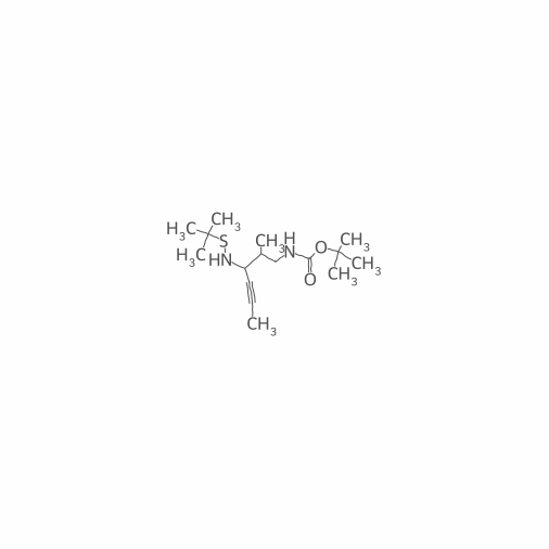 CC#CC(NSC(C)(C)C)C(C)CNC(=O)OC(C)(C)C